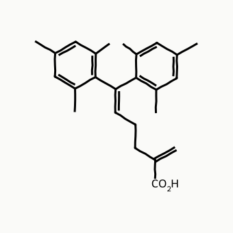 C=C(CCC=C(c1c(C)cc(C)cc1C)c1c(C)cc(C)cc1C)C(=O)O